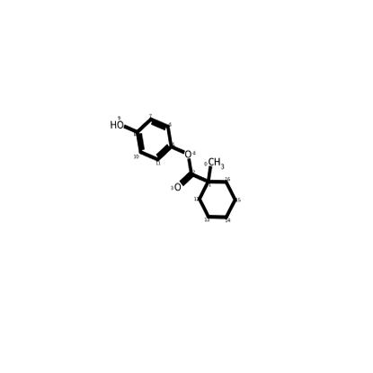 CC1(C(=O)Oc2ccc(O)cc2)CCCCC1